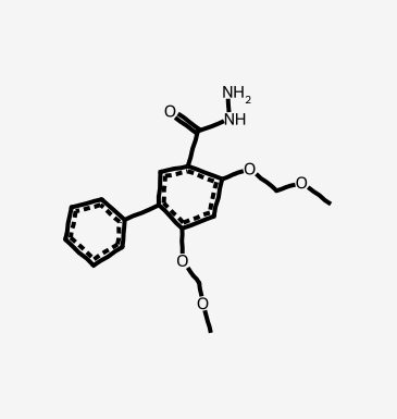 COCOc1cc(OCOC)c(-c2ccccc2)cc1C(=O)NN